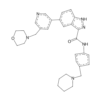 O=C(Nc1ccc(CN2CCCCC2)cc1)c1n[nH]c2ccc(-c3cncc(CN4CCOCC4)c3)cc12